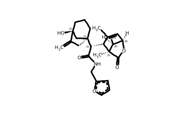 C=C1C[C@@]2([C@@H](C(=O)NCc3ccco3)C3C(C)=C[C@H]4OC(=O)[C@]3(C)[C@H]4O)CCC[C@]1(O)C2